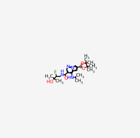 CC(C)Nc1c(C(=O)NCC(F)C(C)(C)O)cnn2cc(B3OC(C)(C)C(C)(C)O3)cc12